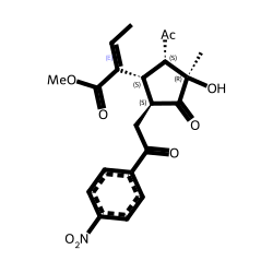 C/C=C(/C(=O)OC)[C@H]1[C@H](CC(=O)c2ccc([N+](=O)[O-])cc2)C(=O)[C@](C)(O)[C@H]1C(C)=O